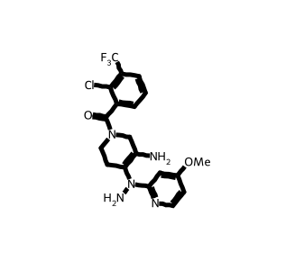 COc1ccnc(N(N)C2=C(N)CN(C(=O)c3cccc(C(F)(F)F)c3Cl)CC2)c1